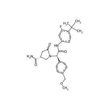 COCc1ccc([C@H](C(=O)Nc2ccc(C(C)(C)C)c(F)c2)N2C[C@H](C(N)=O)CC2=O)cc1